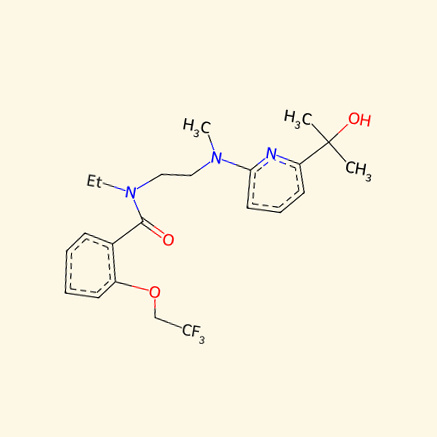 CCN(CCN(C)c1cccc(C(C)(C)O)n1)C(=O)c1ccccc1OCC(F)(F)F